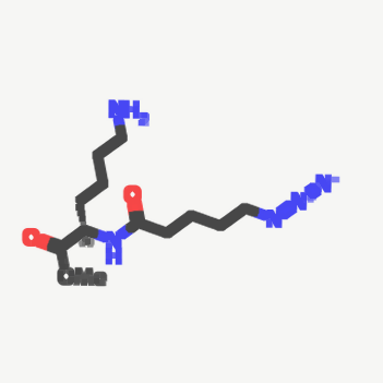 COC(=O)[C@H](CCCCN)NC(=O)CCCCN=[N+]=[N-]